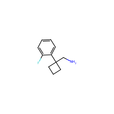 NCC1(c2ccccc2F)CCC1